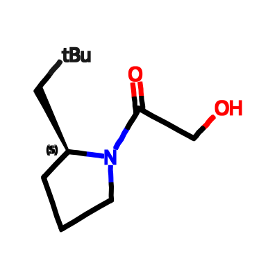 CC(C)(C)C[C@@H]1CCCN1C(=O)CO